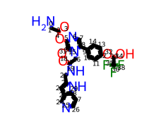 NCC(=O)Oc1ncc(-c2ccccc2)n(CC(=O)NCc2cc3cnccc3[nH]2)c1=O.O=C(O)C(F)(F)F